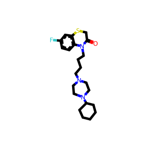 O=C1CSc2cc(F)ccc2N1CCCCN1CCN(C2CCCCC2)CC1